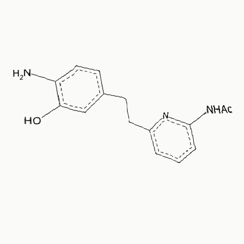 CC(=O)Nc1cccc(CCc2ccc(N)c(O)c2)n1